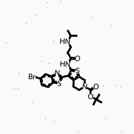 CC(C)NCCC(=O)Nc1sc2c(c1-c1nc3cc(Br)ccc3s1)CCN(C(=O)OC(C)(C)C)C2